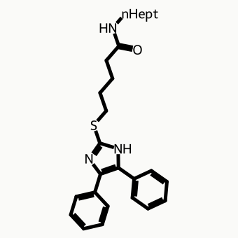 CCCCCCCNC(=O)CCCCSc1nc(-c2ccccc2)c(-c2ccccc2)[nH]1